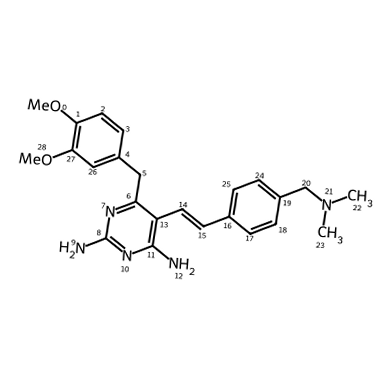 COc1ccc(Cc2nc(N)nc(N)c2/C=C/c2ccc(CN(C)C)cc2)cc1OC